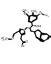 COCc1cn(C[C@H](CC2Cc3ccccc3C2)[C@H](O)c2cc(OC)c(C)c(OC)c2)cc1CC(=O)O